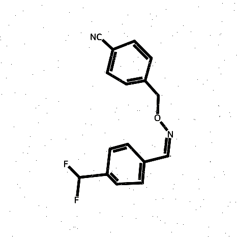 N#Cc1ccc(CO/N=[C]\c2ccc(C(F)F)cc2)cc1